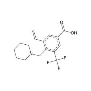 C=Cc1cc(C(=O)O)cc(C(F)(F)F)c1CN1CCCCC1